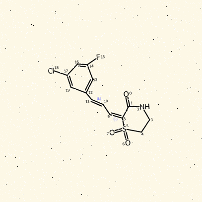 O=C1NCCS(=O)(=O)/C1=C/C=C/c1cc(F)cc(Cl)c1